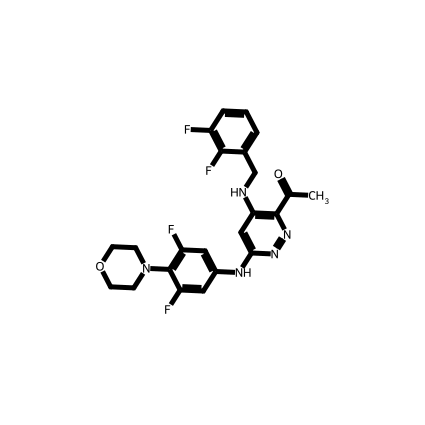 CC(=O)c1nnc(Nc2cc(F)c(N3CCOCC3)c(F)c2)cc1NCc1cccc(F)c1F